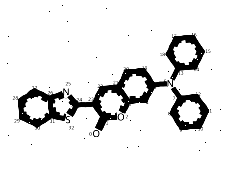 O=c1oc2cc(N(c3ccccc3)c3ccccc3)ccc2cc1-c1nc2ccccc2s1